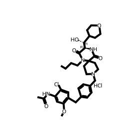 CCCCN1C(=O)[C@@H]([C@H](O)C2CCOCC2)NC(=O)C12CCN(Cc1ccc(Cc3cc(Cl)c(NC(C)=O)cc3OC)cc1)CC2.Cl